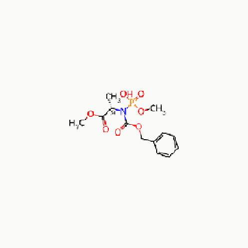 COC(=O)[C@H](C)N(C(=O)OCc1ccccc1)P(=O)(O)OC